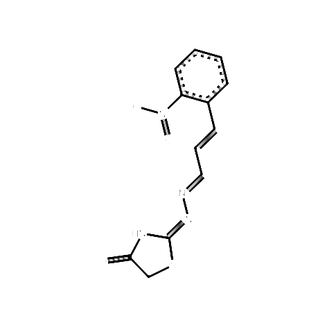 O=C1CSC(=NN=CC=Cc2ccccc2[N+](=O)[O-])N1